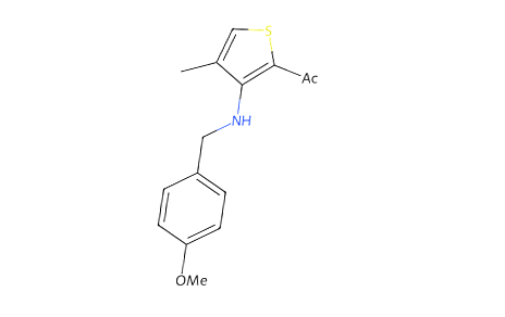 COc1ccc(CNc2c(C)csc2C(C)=O)cc1